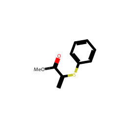 C=C(Sc1ccccc1)C(=O)OC